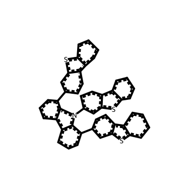 c1ccc2c(c1)sc1cc(-c3cccc4c5cccc(-c6ccc7c(c6)sc6ccccc67)c5n(-c5ccc6c(c5)sc5ccccc56)c34)ccc12